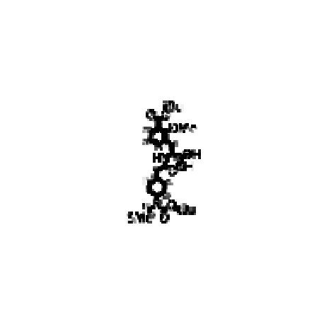 COc1c(CC(NC(=O)CC2CCC(N(CSC)C(=O)OC(C)(C)C)CC2)B(O)O)cccc1C(=O)OC(C)(C)C